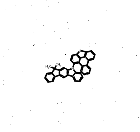 CC1(C)c2ccccc2-c2cc3c4ccccc4n(-c4ccc5sc6cccc7c8ccccc8c4c5c67)c3cc21